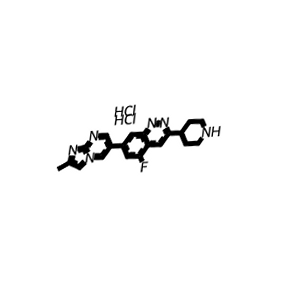 Cc1cn2cc(-c3cc(F)c4cc(C5CCNCC5)nnc4c3)cnc2n1.Cl.Cl